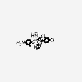 Cc1cc(N)ccc1SC[C@@H]1CO[C@@](Cn2ccnc2)(c2ccc(Cl)cc2Cl)O1.Cl.Cl